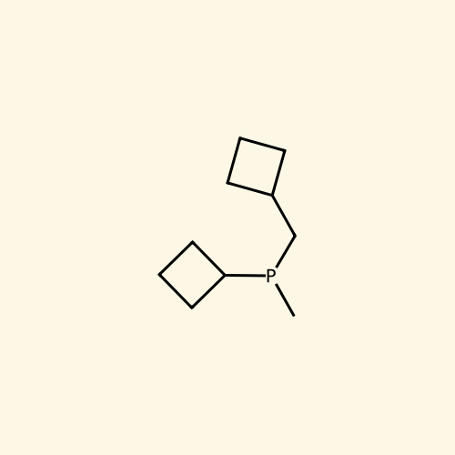 CP(CC1CCC1)C1CCC1